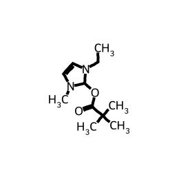 CCN1C=CN(C)C1OC(=O)C(C)(C)C